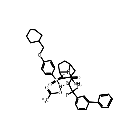 NC1CC2CCC(C1)N2C(=O)[C@@H](N(OC(=O)C(F)(F)F)S(=O)(=O)c1ccc(OCC2CCCCC2)cc1)C(F)(F)c1cccc(-c2ccccc2)c1